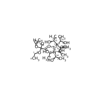 CCOC(C[O][Ti-2]([N+](C(C)O)(C(C)O)C(C)O)[N+](C(C)O)(C(C)O)C(C)O)(OC)OC